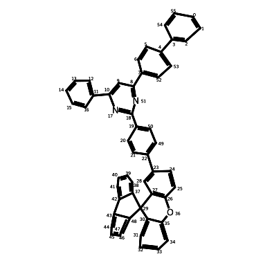 c1ccc(-c2ccc(-c3cc(-c4ccccc4)nc(-c4ccc(-c5ccc6c(c5)C5(c7ccccc7O6)c6ccccc6-c6ccccc65)cc4)n3)cc2)cc1